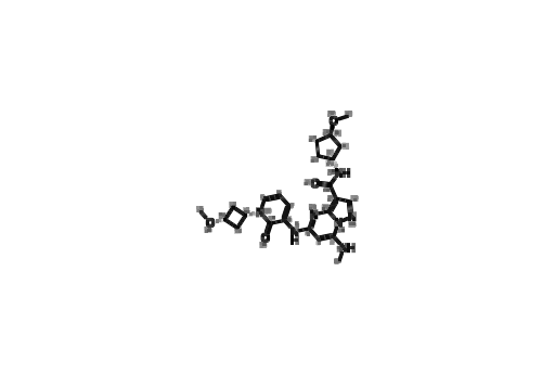 CNc1cc(Nc2cccn([C@H]3C[C@@H](OC)C3)c2=O)nc2c(C(=O)N[C@@H]3CC[C@@H](OC)C3)cnn12